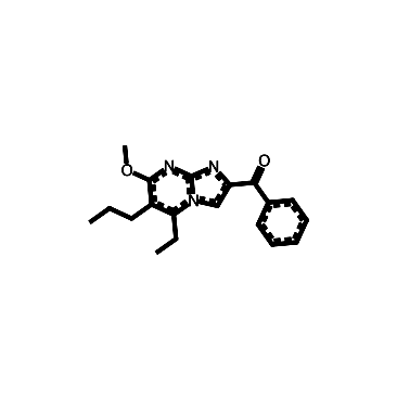 CCCc1c(OC)nc2nc(C(=O)c3ccccc3)cn2c1CC